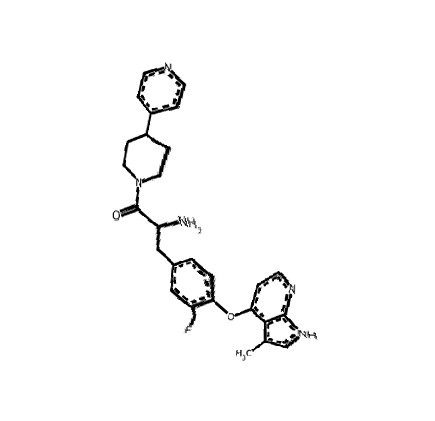 Cc1c[nH]c2nccc(Oc3ccc(CC(N)C(=O)N4CCC(c5ccncc5)CC4)cc3F)c12